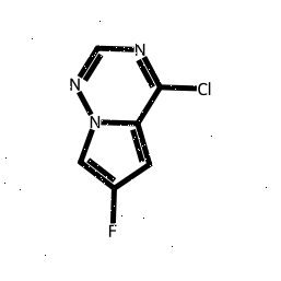 Fc1cc2c(Cl)ncnn2c1